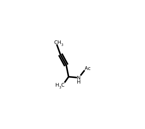 CC#CC(C)NC(C)=O